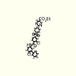 CCOC(=O)c1cnc(N2CCN(S(=O)(=O)c3ccc(C(=O)Nc4ccc(Cl)c(-c5ccccn5)c4)c(Cl)c3)CC2)nc1